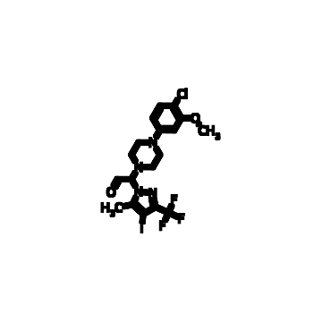 COc1cc(N2CCN(C(C=O)n3nc(C(F)(F)F)c(I)c3C)CC2)ccc1Cl